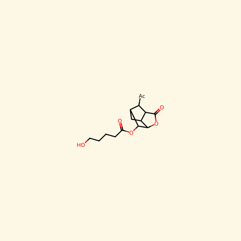 CC(=O)C1C2CC3C(OC(=O)C31)C2OC(=O)CCCCO